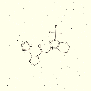 O=C(Cn1nc(C(F)(F)F)c2c1CCCC2)N1CCSC1c1ccco1